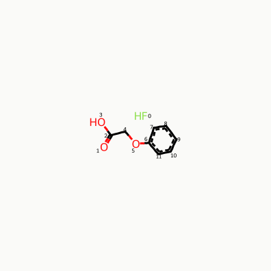 F.O=C(O)COc1ccccc1